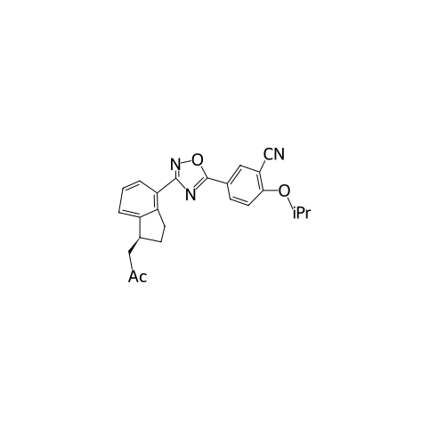 CC(=O)C[C@@H]1CCc2c(-c3noc(-c4ccc(OC(C)C)c(C#N)c4)n3)cccc21